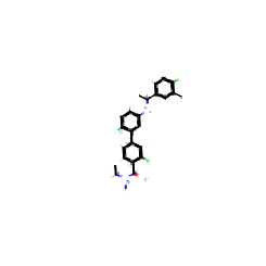 Cc1cc(C(C)Nc2ccc(F)c(-c3ccc(C(=O)N(C)[C@@H](C)C(=O)O)c(Cl)c3)c2)ccc1Cl